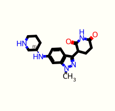 Cn1nc(C2CCC(=O)NC2=O)c2ccc(N[C@H]3CCCNC3)cc21